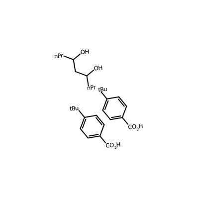 CC(C)(C)c1ccc(C(=O)O)cc1.CC(C)(C)c1ccc(C(=O)O)cc1.CCCC(O)CC(O)CCC